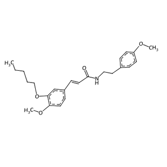 CCCCCOc1cc(C=CC(=O)NCCc2ccc(OC)cc2)ccc1OC